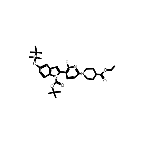 CCOC(=O)C1CCN(c2ccc(-c3cc4cc(O[Si](C)(C)C(C)(C)C)ccc4n3C(=O)OC(C)(C)C)c(F)n2)CC1